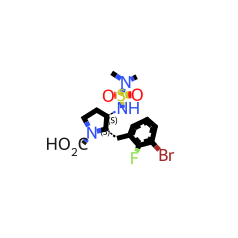 CN(C)S(=O)(=O)N[C@H]1CCN(C(=O)O)[C@H]1Cc1cccc(Br)c1F